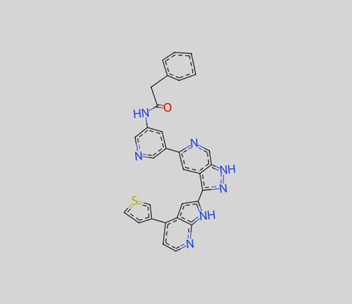 O=C(Cc1ccccc1)Nc1cncc(-c2cc3c(-c4cc5c(-c6ccsc6)ccnc5[nH]4)n[nH]c3cn2)c1